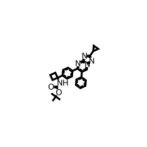 CC(C)(C)OC(=O)NC1(c2ccc(-c3nc4nc(C5CC5)nn4cc3-c3ccccc3)cc2)CCC1